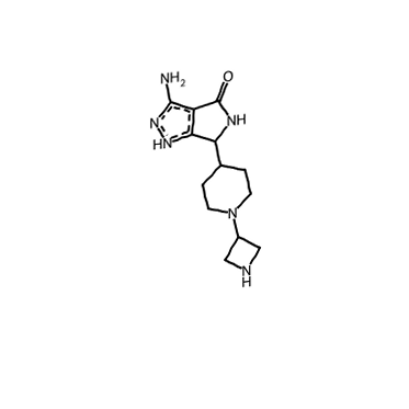 Nc1n[nH]c2c1C(=O)NC2C1CCN(C2CNC2)CC1